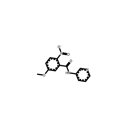 COc1ccc([N+](=O)[O-])c(C(=O)Nc2cccnc2)c1